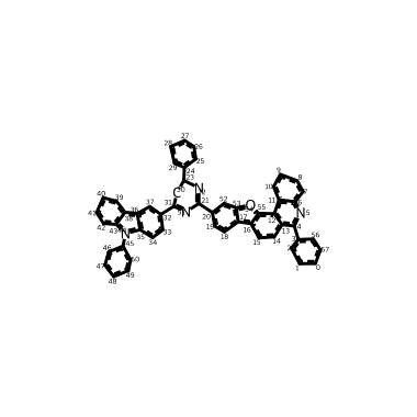 c1ccc(-c2nc3ccccc3c3c2ccc2c4ccc(C5=NC(c6ccccc6)CC(c6ccc7c(c6)c6ccccc6n7-c6ccccc6)=N5)cc4oc23)cc1